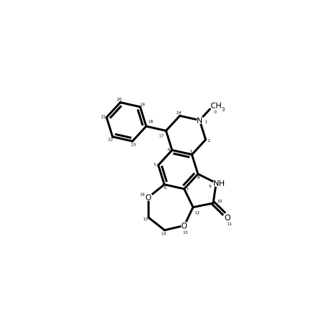 CN1Cc2c(cc3c4c2NC(=O)C4OCCO3)C(c2ccccc2)C1